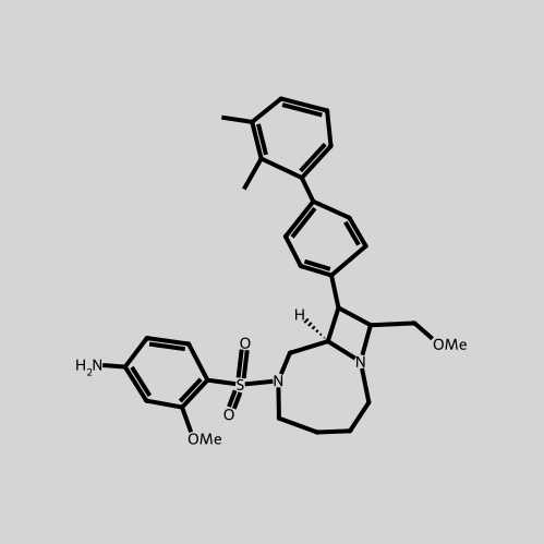 COCC1C(c2ccc(-c3cccc(C)c3C)cc2)[C@@H]2CN(S(=O)(=O)c3ccc(N)cc3OC)CCCCN12